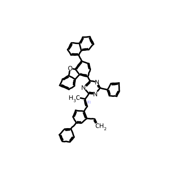 C=Cc1cc(-c2ccccc2)ccc1/C=C(\C)c1nc(-c2ccccc2)nc(-c2ccc(-c3cccc4ccccc34)c3oc4ccccc4c23)n1